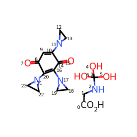 O=C(O)CNC(O)(O)O.O=C1C=C(N2CC2)C(=O)C(N2CC2)=C1N1CC1